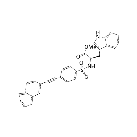 COC(=O)[C@@H](Cc1c[nH]c2ccccc12)NS(=O)(=O)c1ccc(C#Cc2ccc3ccccc3c2)cc1